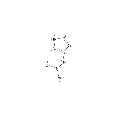 CC(=O)N(Cl)Nc1cc[nH]n1